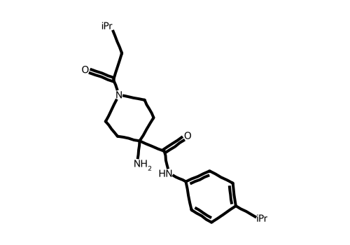 CC(C)CC(=O)N1CCC(N)(C(=O)Nc2ccc(C(C)C)cc2)CC1